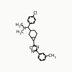 Cc1cccc(-c2noc(C3C4CCC(C(c5ccc(Cl)cc5)N(C)C)CC43)n2)c1